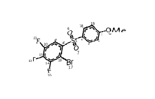 COc1ccc(S(=O)(=O)c2cc(F)c(F)c(F)c2Br)cc1